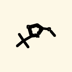 COc1coc(C(C)(C)C)n1